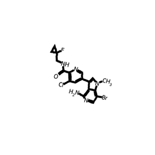 Cn1cc(-c2cnc(C(=O)NCC3(F)CC3)c(Cl)c2)c2c(N)ncc(Br)c21